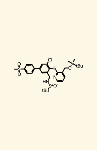 CC(C)(C)[S+]([O-])NCc1cc(-c2ccc(S(C)(=O)=O)cc2)cc(Cl)c1Sc1ncccc1CO[Si](C)(C)C(C)(C)C